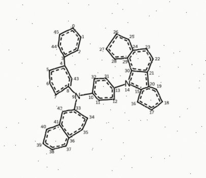 c1ccc(-c2cccc(N(c3ccc(-n4c5ccccc5c5ccc6ccccc6c54)cc3)c3ccc4ccccc4c3)c2)cc1